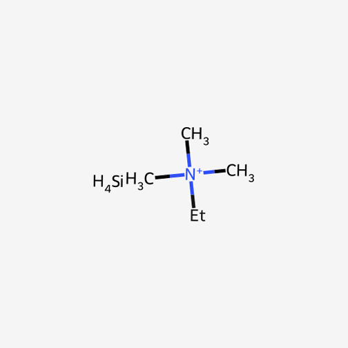 CC[N+](C)(C)C.[SiH4]